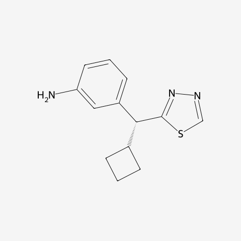 Nc1cccc([C@H](c2nncs2)C2CCC2)c1